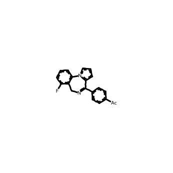 CC(=O)c1ccc(C2=NCc3c(F)cccc3-n3cccc32)cc1